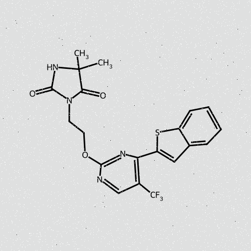 CC1(C)NC(=O)N(CCOc2ncc(C(F)(F)F)c(-c3cc4ccccc4s3)n2)C1=O